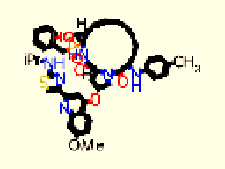 COc1ccc2c(O[C@@H]3C[C@H]4C(=O)N[C@]5(P(=O)(O)Cc6ccccc6)C[C@H]5/C=C\CCCCCC(Nc5ccc(C)cc5)C(=O)N4C3)cc(-c3csc(NC(C)C)n3)nc2c1